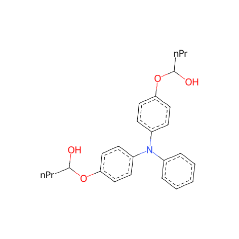 CCCC(O)Oc1ccc(N(c2ccccc2)c2ccc(OC(O)CCC)cc2)cc1